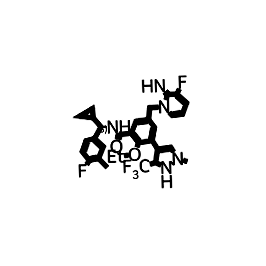 CCOc1c(C(=O)N[C@H](c2ccc(F)c(C)c2)C2CC2)cc(Cn2cccc(F)c2=N)cc1C1=CN(C)NC1C(F)(F)F